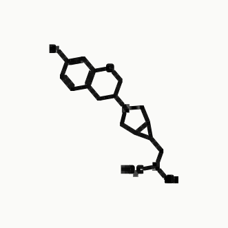 CC(C)(C)N(CC1C2CN(C3COc4cc(Br)ccc4C3)CC21)C(=O)O